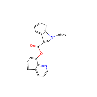 CCCCCCn1cc(C(=O)Oc2cccc3cccnc23)c2ccccc21